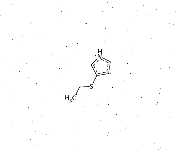 CCSc1[c]c[nH]c1